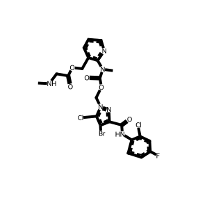 CNCC(=O)OCc1cccnc1N(C)C(=O)OCn1nc(C(=O)Nc2ccc(F)cc2Cl)c(Br)c1Cl